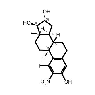 C[C@]12CC[C@@H]3c4c(cc(O)c([N+](=O)[O-])c4I)CC[C@H]3[C@@H]1C[C@@H](O)[C@@H]2O